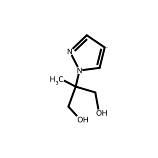 CC(CO)(CO)n1c[c]cn1